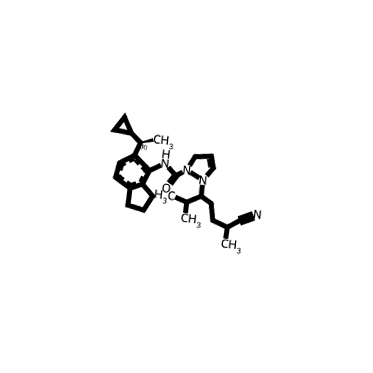 CC(C#N)CCC(C(C)C)N1C=CCN1C(=O)Nc1c([C@H](C)C2CC2)ccc2c1CCC2